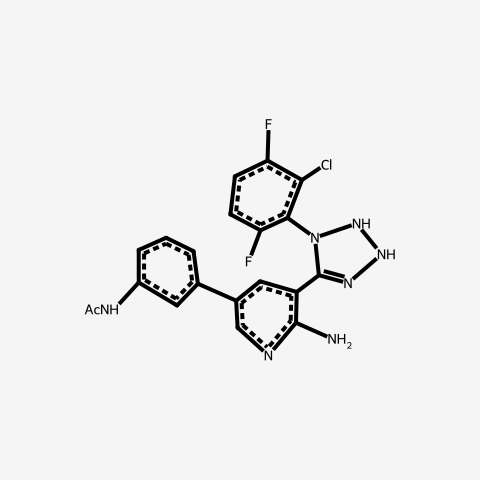 CC(=O)Nc1cccc(-c2cnc(N)c(C3=NNNN3c3c(F)ccc(F)c3Cl)c2)c1